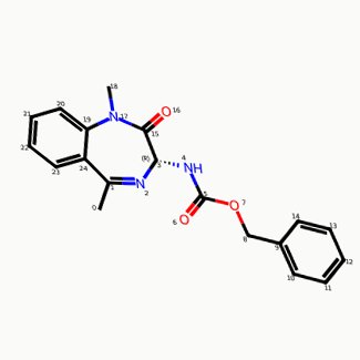 CC1=N[C@@H](NC(=O)OCc2ccccc2)C(=O)N(C)c2ccccc21